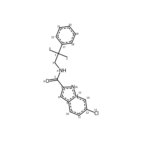 CC(C)(CNC(=O)c1cc2ccc(Cl)cn2n1)c1ccccc1